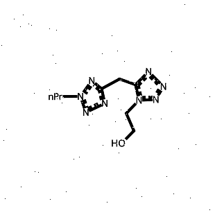 CCCn1nnc(Cc2nnnn2CCO)n1